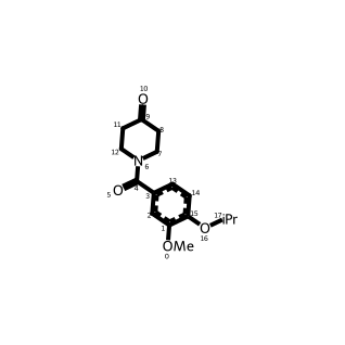 COc1cc(C(=O)N2CCC(=O)CC2)ccc1OC(C)C